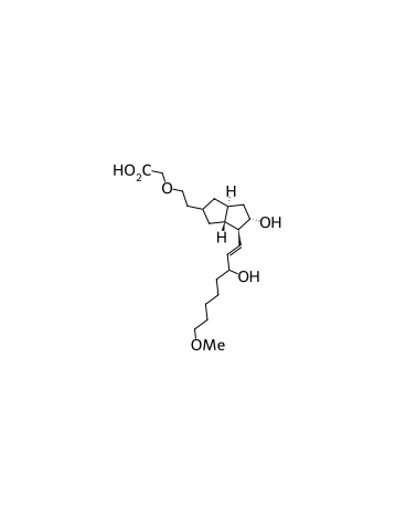 COCCCCCC(O)C=C[C@H]1[C@@H]2CC(CCOCC(=O)O)C[C@H]2C[C@@H]1O